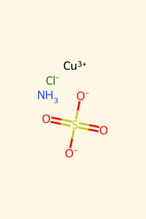 N.O=S(=O)([O-])[O-].[Cl-].[Cu+3]